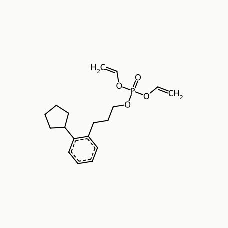 C=COP(=O)(OC=C)OCCCc1ccccc1C1CCCC1